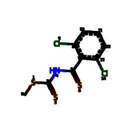 CSC(=S)NC(=S)c1c(Cl)cccc1Cl